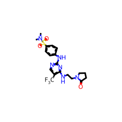 CN(C)S(=O)(=O)c1ccc(Nc2ncc(C(F)(F)F)c(NCCN3CCCC3=O)n2)cc1